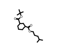 CC(C)CCCOC(=O)C1CCCC(C(=O)OC(C)(C)C)C1